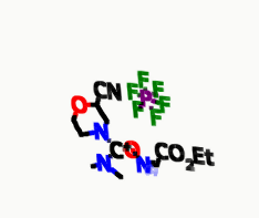 CCOC(=O)/C=N\O[C+](N(C)C)N1CCOC(C#N)C1.F[P-](F)(F)(F)(F)F